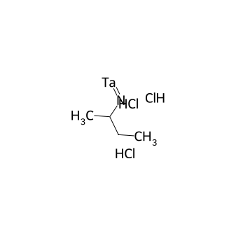 CCC(C)[N]=[Ta].Cl.Cl.Cl